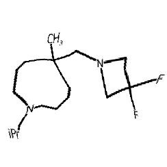 CC(C)N1CCC(C)(CN2CC(F)(F)C2)CC1